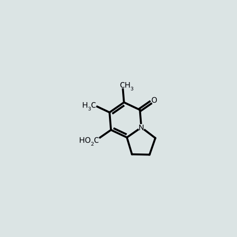 Cc1c(C(=O)O)c2n(c(=O)c1C)CCC2